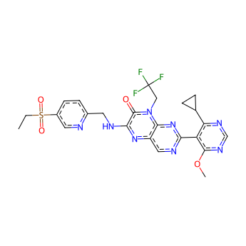 CCS(=O)(=O)c1ccc(CNc2nc3cnc(-c4c(OC)ncnc4C4CC4)nc3n(CC(F)(F)F)c2=O)nc1